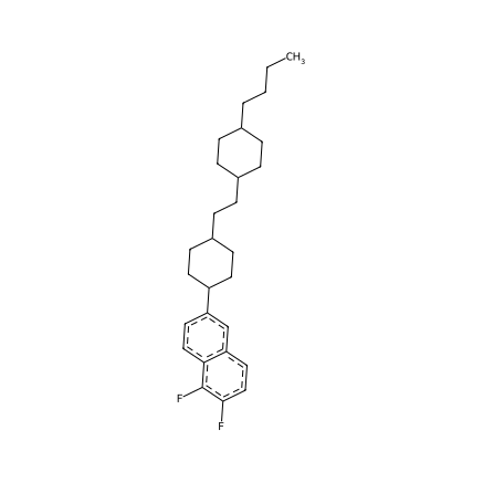 CCCCC1CCC(CCC2CCC(c3ccc4c(F)c(F)ccc4c3)CC2)CC1